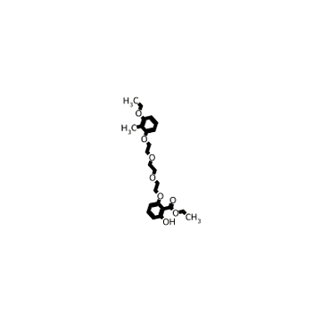 CCOC(=O)c1c(O)cccc1OCCOCCOCCOc1cccc(OCC)c1C